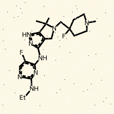 CCNc1ncc(F)c(Nc2n[nH]c3c2CN(CC2(F)CCN(C)CC2)C3(C)C)n1